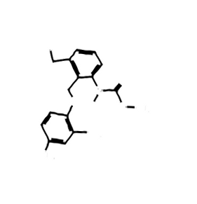 CCc1cccc(N(O)C(=S)OC)c1COc1ccc(C)cc1C